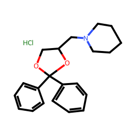 Cl.c1ccc(C2(c3ccccc3)OCC(CN3CCCCC3)O2)cc1